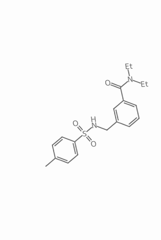 CCN(CC)C(=O)c1cccc(CNS(=O)(=O)c2ccc(C)cc2)c1